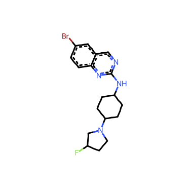 FC1CCN(C2CCC(Nc3ncc4cc(Br)ccc4n3)CC2)C1